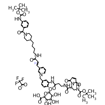 CC(C)(C)OC(=O)NC[C@@H](C(=O)NCCC(=O)Nc1cc(C[n+]2cccc(/C=C/C(=O)NCCCCC3CCN(C(=O)c4cccc(NC(=O)OC(C)(C)C)c4)CC3)c2)ccc1O[C@@H]1O[C@H](C(=O)O)[C@@H](O)[C@H](O)[C@H]1O)N1C(=O)C=CC1=O.O=C([O-])C(F)(F)F